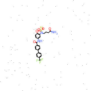 NC(=O)CCCN(c1cc(NC(=O)c2ccc(-c3ccc(C(F)(F)F)cc3)cc2)ccc1O)[SH](=O)=O